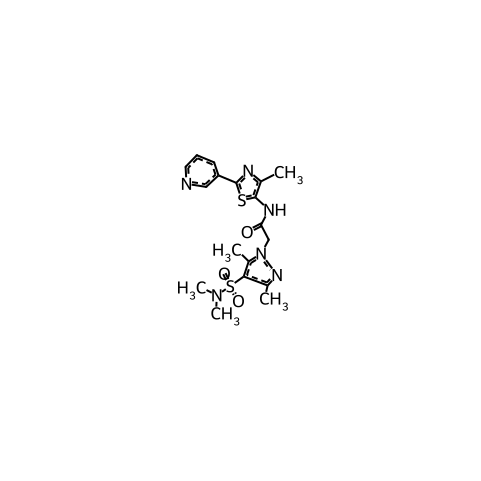 Cc1nc(-c2cccnc2)sc1NC(=O)Cn1nc(C)c(S(=O)(=O)N(C)C)c1C